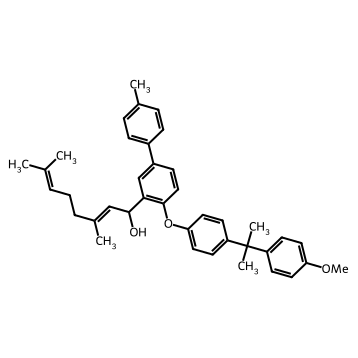 COc1ccc(C(C)(C)c2ccc(Oc3ccc(-c4ccc(C)cc4)cc3C(O)/C=C(\C)CCC=C(C)C)cc2)cc1